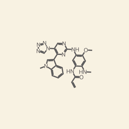 C=CC(=O)Nc1cc(Nc2ncc(-n3cnnn3)c(-c3cn(C)c4ccccc34)n2)c(OC)cc1NC